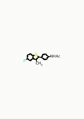 CC(=O)Nc1ccc(-c2sc3ccc(F)cc3c2C)cc1